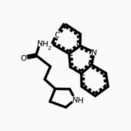 NC(=O)CCC1CCNC1.c1ccc2nc3ccccc3cc2c1